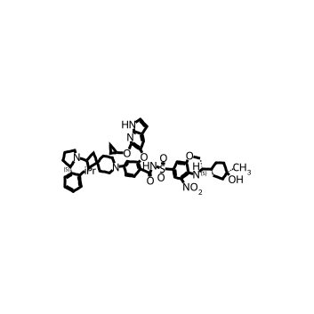 CC(C)c1ccccc1[C@@H]1CCCN1C1CC2(CCN(c3ccc(C(=O)NS(=O)(=O)c4cc5c(c([N+](=O)[O-])c4)N[C@@H]([C@H]4CC[C@](C)(O)CC4)CO5)c(Oc4cc5cc[nH]c5nc4OC4CC4)c3)CC2)C1